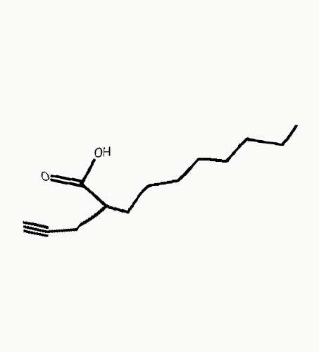 C#CCC(CCCCCCCC)C(=O)O